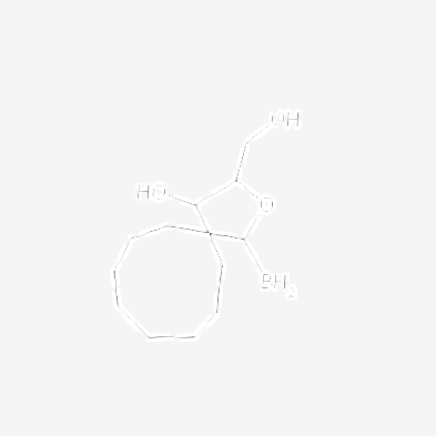 BC1OC(CO)C(O)C12CCCCCCCC2